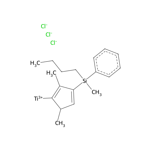 CCCC[Si](C)(C1=CC(C)[C]([Ti+3])=C1C)c1ccccc1.[Cl-].[Cl-].[Cl-]